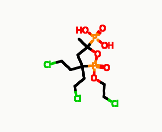 CC1(P(=O)(O)O)CC(CCCl)(CCCl)P(=O)(OCCCl)O1